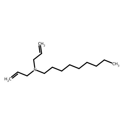 C=CCN(CC=C)CCCCCCCCC